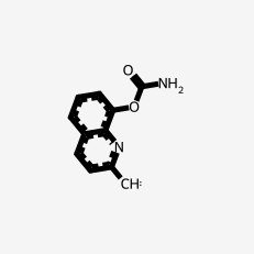 [CH]c1ccc2cccc(OC(N)=O)c2n1